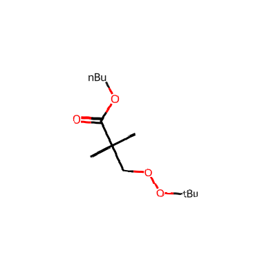 CCCCOC(=O)C(C)(C)COOC(C)(C)C